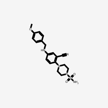 COc1ccc(CNc2ccc(N3CCN(S(N)(=O)=O)CC3)c(C#N)c2)cc1